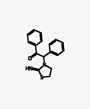 N=C1SCCN1C(C(=O)c1ccccc1)c1ccccc1